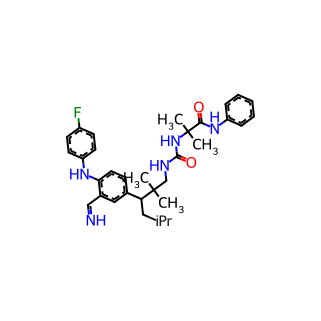 CC(C)CC(c1ccc(Nc2ccc(F)cc2)c(C=N)c1)C(C)(C)CNC(=O)NC(C)(C)C(=O)Nc1ccccc1